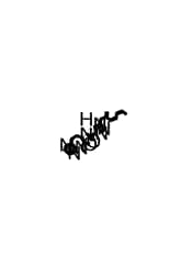 C=C(/C=C\C=C/C)Cn1cc(C(=O)N[C@H]2CCc3nccnc3N(C)C2=O)nn1